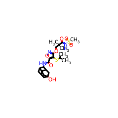 CC(C)Sc1c(OCC(C)(C)C(=O)NS(C)(=O)=O)noc1C(=O)NC1C2CC3CC1CC(O)(C3)C2